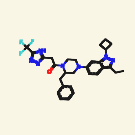 CCc1nn(C2CCC2)c2cc(N3CCN(C(=O)Cc4nnc(C(F)(F)F)[nH]4)C(Cc4ccccc4)C3)ccc12